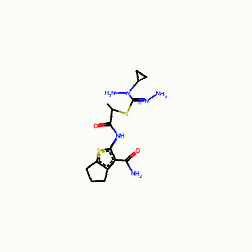 CC(S/C(=N/N)N(N)C1CC1)C(=O)Nc1sc2c(c1C(N)=O)CCC2